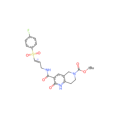 CC(C)(C)OC(=O)N1CCc2[nH]c(=O)c(C(=O)NC/C=C/S(=O)(=O)c3ccc(F)cc3)cc2C1